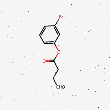 O=CCCC(=O)Oc1cccc(Br)c1